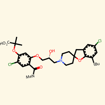 CNC(=O)c1cc(Cl)c(OC(C)(C)C(=O)O)cc1OC[C@H](O)CN1CCC2(CC1)Cc1cc(Cl)cc(C(C)(C)C)c1O2